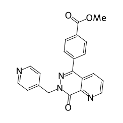 COC(=O)c1ccc(-c2nn(Cc3ccncc3)c(=O)c3ncccc23)cc1